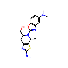 C[C@H]1c2sc(N)nc2C[C@@H](CO)N1c1nc2cc(N(C)C)ccc2o1